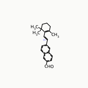 CC1=C(/C=C/c2ccc3cc(C=O)ccc3c2)C(C)(C)CCC1